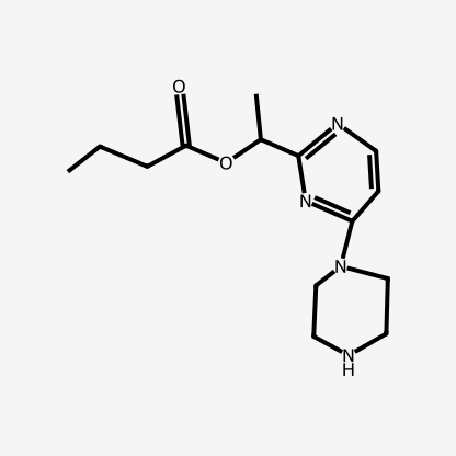 CCCC(=O)OC(C)c1nccc(N2CCNCC2)n1